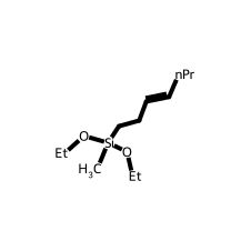 CCCC=CCC[Si](C)(OCC)OCC